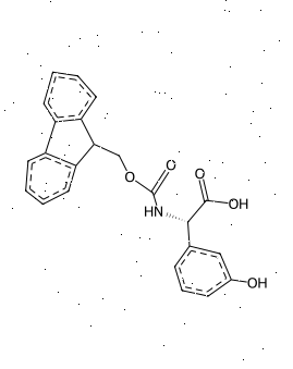 O=C(N[C@H](C(=O)O)c1cccc(O)c1)OCC1c2ccccc2-c2ccccc21